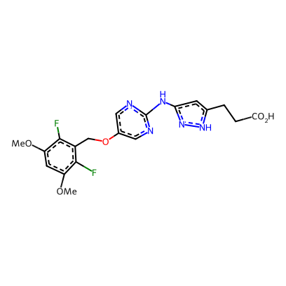 COc1cc(OC)c(F)c(COc2cnc(Nc3cc(CCC(=O)O)[nH]n3)nc2)c1F